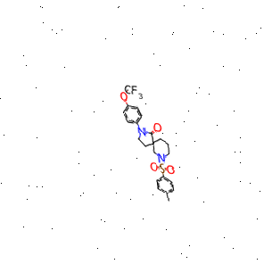 Cc1ccc(S(=O)(=O)N2CCCC3(CCN(c4ccc(OC(F)(F)F)cc4)C3=O)C2)cc1